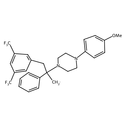 [CH2]C(Cc1cc(C(F)(F)F)cc(C(F)(F)F)c1)(c1ccccc1)N1CCN(c2ccc(OC)cc2)CC1